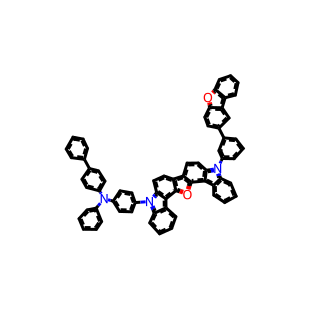 c1ccc(-c2ccc(N(c3ccccc3)c3ccc(-n4c5ccccc5c5c6oc7c(ccc8c7c7ccccc7n8-c7cccc(-c8ccc9oc%10ccccc%10c9c8)c7)c6ccc54)cc3)cc2)cc1